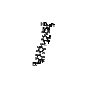 CCCC(O)c1ncc(-c2ccc(CCc3ccc(-c4ccc(OCC)c(F)c4)cc3)c(F)c2F)cn1